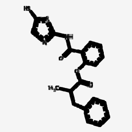 CC(Cc1ccccc1)C(=O)Oc1ccccc1C(=O)Nc1ncc(S)s1